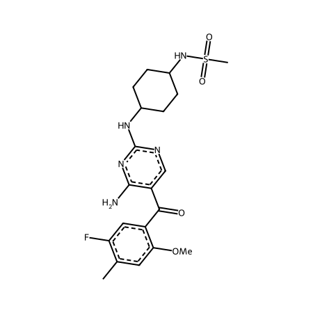 COc1cc(C)c(F)cc1C(=O)c1cnc(NC2CCC(NS(C)(=O)=O)CC2)nc1N